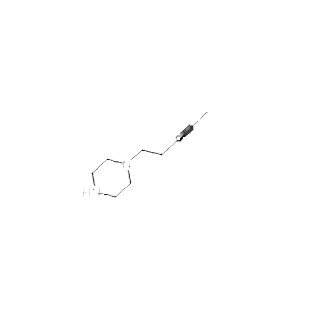 [CH2]C#CCCN1CCNCC1